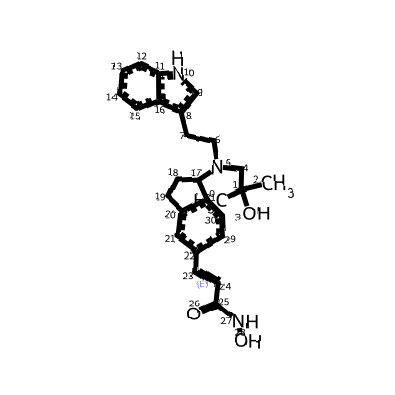 CC(C)(O)CN(CCc1c[nH]c2ccccc12)C1CCc2cc(/C=C/C(=O)NO)ccc21